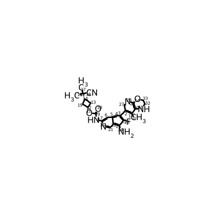 Cc1c(-c2cc3cc(NC(=O)O[C@H]4C[C@@H](C(C)(C)C#N)C4)ncc3c(N)c2F)cnc2c1NCCO2